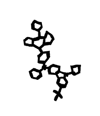 CC(C)(C)c1ccc2c(c1)c1cc(N(c3ccccc3)c3ccc(-c4c5ccccc5c(-c5ccccc5)c5ccccc45)cc3)ccc1n2-c1ccccc1